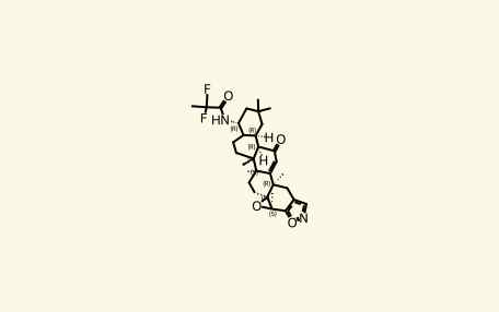 CC1(C)C[C@@H]2C(CC[C@]3(C)[C@@H]2C(=O)C=C2[C@@]4(C)Cc5cnoc5[C@@]5(C)O[C@@]45CC[C@]23C)[C@H](NC(=O)C(C)(F)F)C1